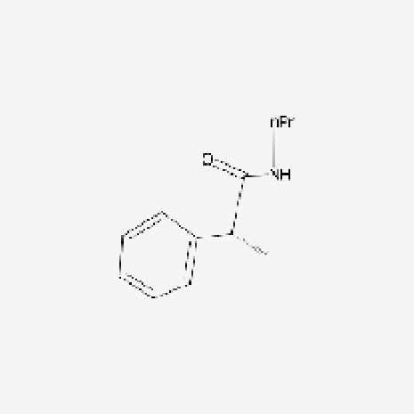 CCCNC(=O)[C@H](C)c1ccccc1